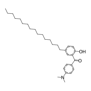 CCCCCCCCCCCCCCCCc1ccc(O)c(C(=O)c2ccc(N(C)C)cc2)c1